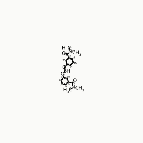 CN(C)C(=O)c1cccc(OBOc2cccc(C(=O)N(C)C)c2)c1